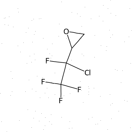 FC(F)(F)C(F)(Cl)C1CO1